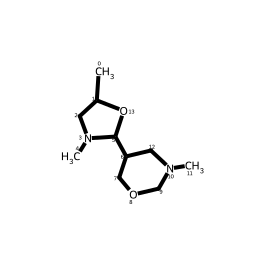 CC1CN(C)C(C2COCN(C)C2)O1